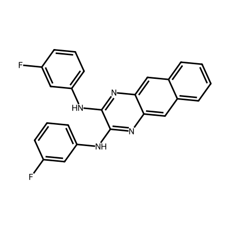 Fc1cccc(Nc2nc3cc4ccccc4cc3nc2Nc2cccc(F)c2)c1